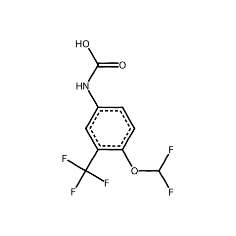 O=C(O)Nc1ccc(OC(F)F)c(C(F)(F)F)c1